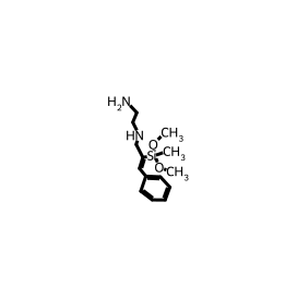 CO[Si](C)(OC)C(=Cc1ccccc1)CNCCN